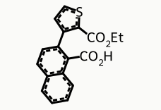 CCOC(=O)c1sccc1-c1ccc2ccccc2c1C(=O)O